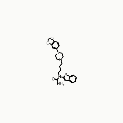 NC(=O)N(CCCCN1CCN(c2ccc3c(c2)OCO3)CC1)c1cc2ccccc2s1